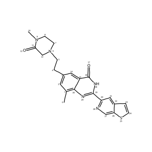 Cc1cc(CCN2CCN(C)C(=O)C2)cc2c(=O)[nH]c(-c3cc4ccsc4cn3)nc12